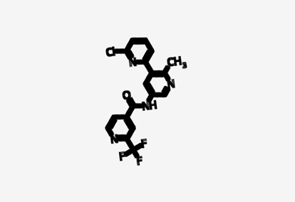 Cc1ncc(NC(=O)c2ccnc(C(F)(F)F)c2)cc1-c1cccc(Cl)n1